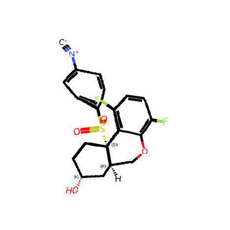 [C-]#[N+]c1ccc(S(=O)(=O)[C@@]23CC[C@@H](O)C[C@@H]2COc2c(F)ccc(F)c23)cc1